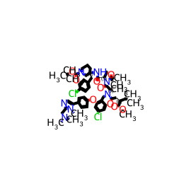 COC(=O)[C@H](CC(=O)N(Cc1ccc(Cl)cc1Oc1ccc(-c2cnc(CN(C)C)n2C)cc1)[C@@H](C)C(=O)N1[C@H](C(=O)N[C@@]2(Cc3ccc(Cl)cc3)CCCN(C(=O)OC(C)(C)C)C2)COC1(C)C)C(C)C